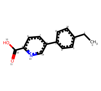 CCc1ccc(-c2ccc(C(=O)O)nc2)cc1